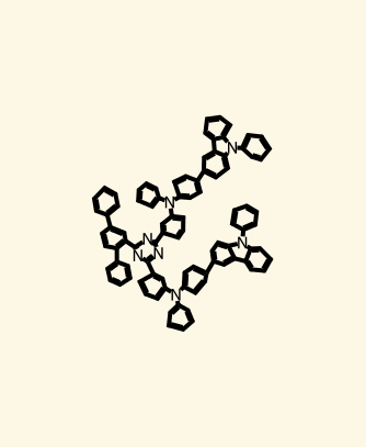 c1ccc(-c2ccc(-c3ccccc3)c(-c3nc(-c4cccc(N(c5ccccc5)c5ccc(-c6ccc7c(c6)c6ccccc6n7-c6ccccc6)cc5)c4)nc(-c4cccc(N(c5ccccc5)c5ccc(-c6ccc7c(c6)c6ccccc6n7-c6ccccc6)cc5)c4)n3)c2)cc1